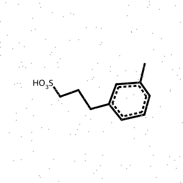 Cc1cccc(CCCS(=O)(=O)O)c1